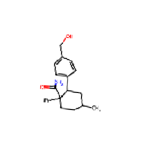 CC1CCC(C(N)=O)(C(C)C)C(c2ccc(CO)cc2)C1